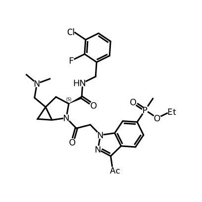 CCOP(C)(=O)c1ccc2c(C(C)=O)nn(CC(=O)N3C4CC4(CN(C)C)C[C@H]3C(=O)NCc3cccc(Cl)c3F)c2c1